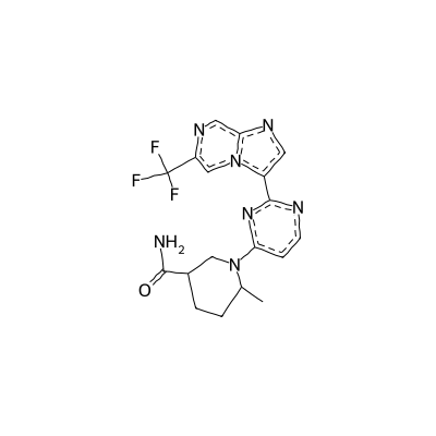 CC1CCC(C(N)=O)CN1c1ccnc(-c2cnc3cnc(C(F)(F)F)cn23)n1